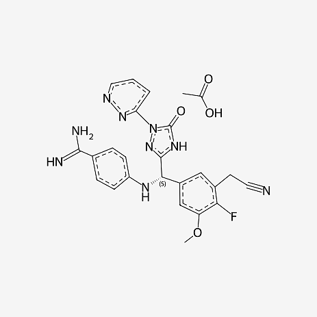 CC(=O)O.COc1cc([C@H](Nc2ccc(C(=N)N)cc2)c2nn(-c3cccnn3)c(=O)[nH]2)cc(CC#N)c1F